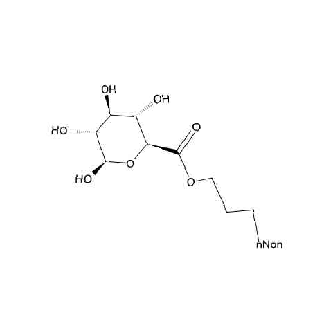 CCCCCCCCCCCCOC(=O)[C@H]1O[C@@H](O)[C@H](O)[C@@H](O)[C@@H]1O